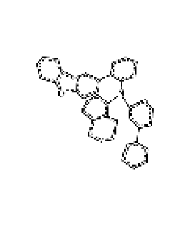 c1ccc(-c2cccc(N(c3ccccc3-c3ccc4oc5ccccc5c4c3)c3cccc4ccccc34)c2)cc1